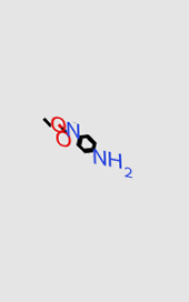 CCOC(=O)N(C)c1ccc(N)cc1